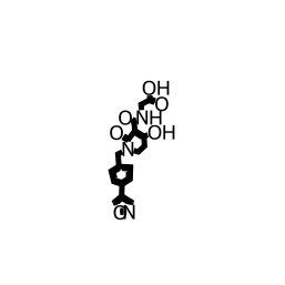 O=C(O)CNC(=O)C1=C(O)CCN(Cc2ccc(-c3cnoc3)cc2)C1=O